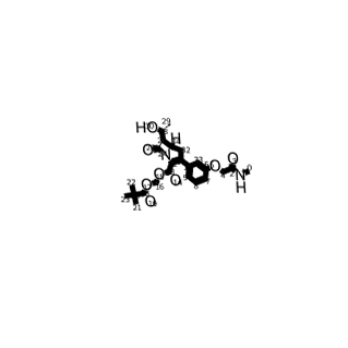 CNC(=O)COc1cccc(C2=C(C(=O)OCOC(=O)C(C)(C)C)N3C(=O)[C@H]([C@@H](C)O)[C@H]3C2)c1